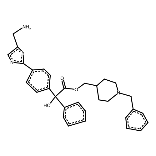 NCc1cnc(-c2ccc(C(O)(C(=O)OCC3CCN(Cc4ccccc4)CC3)c3ccccc3)cc2)s1